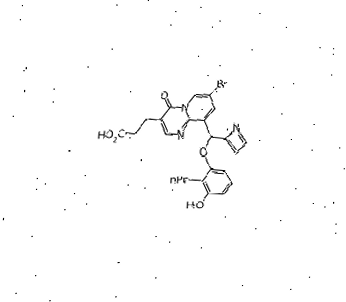 CCCc1c(O)cccc1OC(C1=CC=N1)c1cc(Br)cn2c(=O)c(CCC(=O)O)cnc12